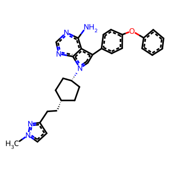 Cn1ccc(CC[C@H]2CC[C@@H](n3cc(-c4ccc(Oc5ccccc5)cc4)c4c(N)ncnc43)CC2)n1